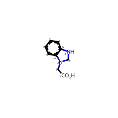 O=C(O)CN1CNc2ccccc21